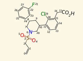 C=CCS(=O)(=O)N1CCCC(c2cccc(CC(=O)O)c2Cl)C1.Fc1ccccc1